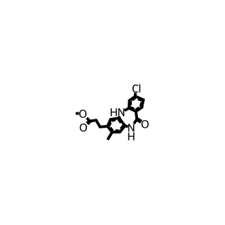 COC(=O)CCc1cc2c(cc1C)NC(=O)c1ccc(Cl)cc1N2